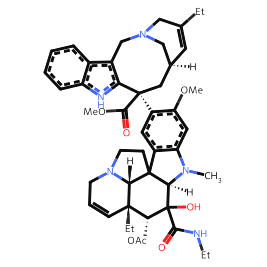 CCNC(=O)C1(O)[C@@H]2N(C)c3cc(OC)c([C@@]4(C(=O)OC)C[C@@H]5C=C(CC)CN(Cc6c4[nH]c4ccccc64)C5)cc3C23CCN2CC=C[C@](CC)([C@H]23)[C@H]1OC(C)=O